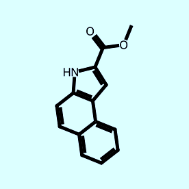 COC(=O)c1cc2c(ccc3ccccc32)[nH]1